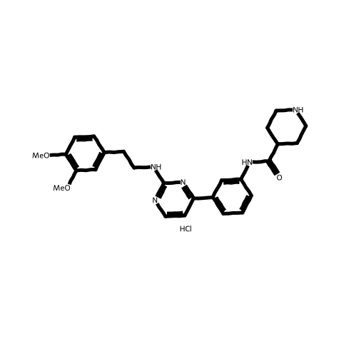 COc1ccc(CCNc2nccc(-c3cccc(NC(=O)C4CCNCC4)c3)n2)cc1OC.Cl